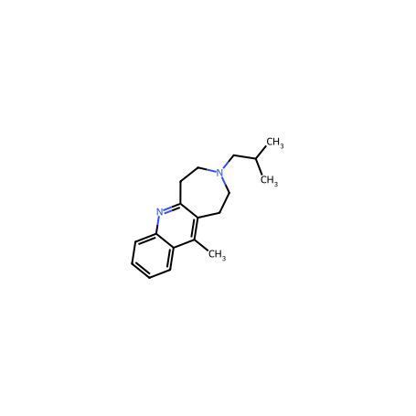 Cc1c2c(nc3ccccc13)CCN(CC(C)C)CC2